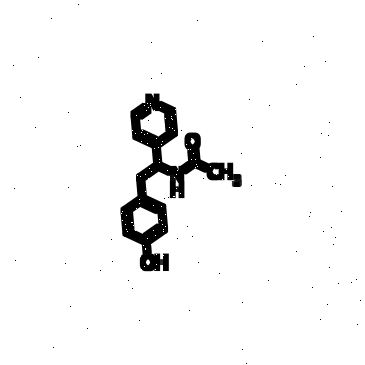 CC(=O)NC(Cc1ccc(O)cc1)c1ccncc1